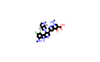 CNc1cc(F)c(F)c2c1[nH]c1ncc(-c3cnc4c(c3)c(=O)c(C(=O)O)cn4NC)c(N3C[C@@H]4CCN(C)[C@@H]4C3)c12